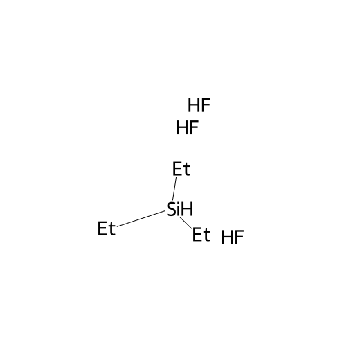 CC[SiH](CC)CC.F.F.F